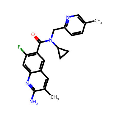 Cc1cc2cc(C(=O)N(Cc3ccc(C(F)(F)F)cn3)C3CC3)c(F)cc2nc1N